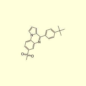 CC(C)(C)c1ccc(-c2nc3cc(S(C)(=O)=O)ccc3n3cccc23)cc1